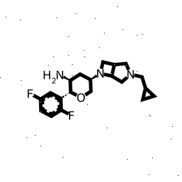 N[C@H]1C[C@@H](N2CC3CN(CC4CC4)CC32)CO[C@@H]1c1cc(F)ccc1F